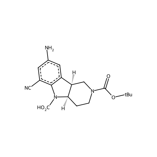 CC(C)(C)OC(=O)N1CC[C@@H]2[C@H](C1)c1cc(N)cc(C#N)c1N2C(=O)O